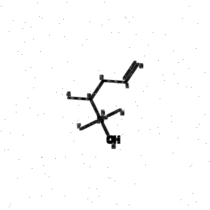 C=CCC(C)[N+](C)(C)O